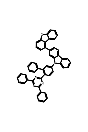 c1ccc(-c2nc(-c3ccccc3)nc(-c3ccc(-n4c5ccccc5c5ccc(-c6cccc7oc8ccccc8c67)cc54)cc3-c3ccccc3)n2)cc1